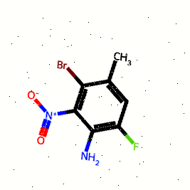 Cc1cc(F)c(N)c([N+](=O)[O-])c1Br